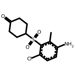 Cc1c(N)ccc(Cl)c1S(=O)(=O)C1CCC(=O)CC1